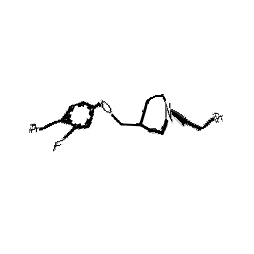 CC(C)CCN1CCC(COc2ccc(C(C)C)c(F)c2)CC1